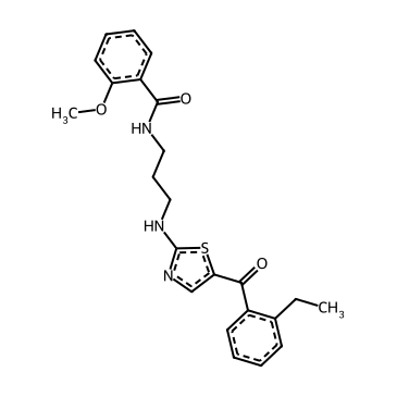 CCc1ccccc1C(=O)c1cnc(NCCCNC(=O)c2ccccc2OC)s1